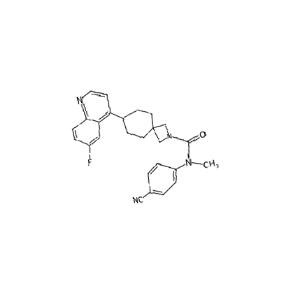 CN(C(=O)N1CC2(CCC(c3ccnc4ccc(F)cc34)CC2)C1)c1ccc(C#N)cc1